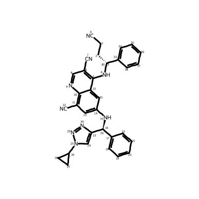 N#CCC[C@@H](Nc1c(C#N)cnc2c(C#N)cc(N[C@@H](c3ccccc3)c3cn(C4CC4)nn3)cc12)c1ccccc1